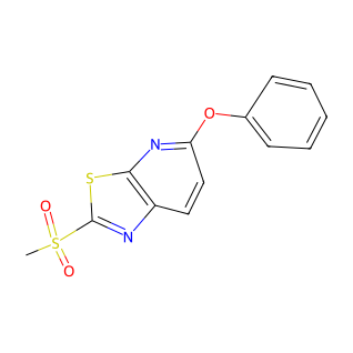 CS(=O)(=O)c1nc2ccc(Oc3ccccc3)nc2s1